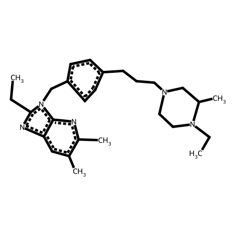 CCc1nc2cc(C)c(C)nc2n1Cc1ccc(CCCN2CCN(CC)C(C)C2)cc1